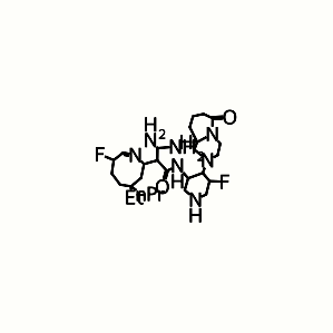 CCCC1(CC)CCC(F)/C=N\C(C(C(=O)NC2CNCC(F)C2N2CCN3C(=O)CCC[C@H]3C2)C(N)N)C1